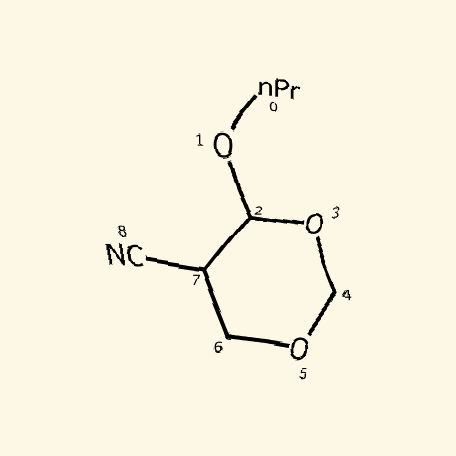 CCCOC1OCOCC1C#N